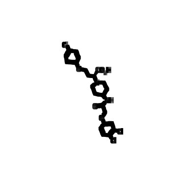 O=C(COc1ccc(Cl)c(Cl)c1)NC1CCN([C@H](CCOc2ccc(Cl)cc2)C(=O)O)CC1